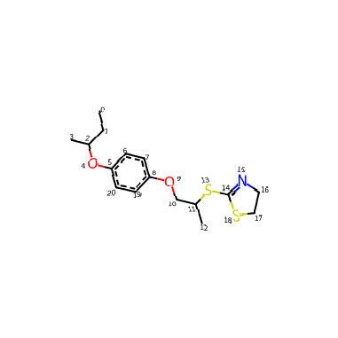 CCC(C)Oc1ccc(OCC(C)SC2=NCCS2)cc1